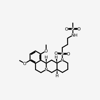 COc1ccc(OC)c2c1CCN1C[C@H]3CCCN(S(=O)(=O)CCCNS(C)(=O)=O)[C@H]3C[C@@H]21